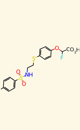 Cc1ccc(S(=O)(=O)NCCSc2ccc(OC(F)C(=O)O)cc2)cc1